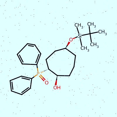 CC(C)(C)[Si](C)(C)O[C@H]1CCC[C@@H](O)[C@H](P(=O)(c2ccccc2)c2ccccc2)CC1